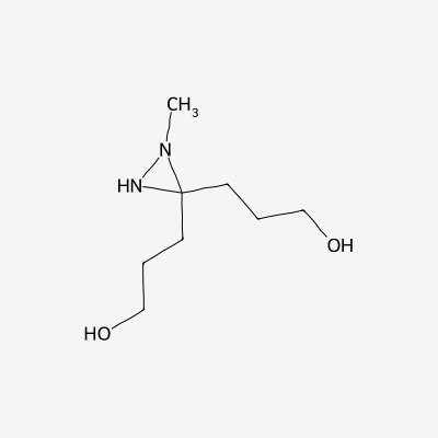 CN1NC1(CCCO)CCCO